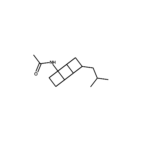 CC(=O)NC12C3C4C1C1C2C3C41CC(C)C